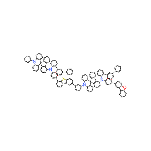 c1ccc(-c2cccc(-c3ccccc3N(c3ccc(-c4cccc5c4sc4ccc(-c6cccc(N7c8ccccc8C8(c9ccccc9-c9c(N(c%10ccc(-c%11ccc%12oc%13ccccc%13c%12c%11)cc%10)c%10ccccc%10-c%10cccc(-c%11ccccc%11)c%10)cccc98)c8ccccc87)c6)cc45)cc3)c3cccc4c3-c3ccccc3C43c4ccccc4N(c4ccccc4)c4ccccc43)c2)cc1